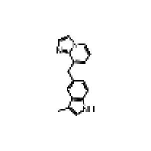 Cc1c[nH]c2ccc(Cc3cccn4ccnc34)cc12